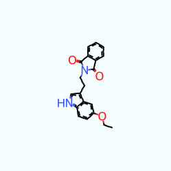 CCOc1ccc2[nH]cc(CCN3C(=O)c4ccccc4C3=O)c2c1